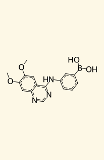 COc1cc2ncnc(Nc3cccc(B(O)O)c3)c2cc1OC